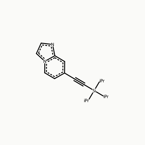 CC(C)[Si](C#Cc1ccn2ccnc2c1)(C(C)C)C(C)C